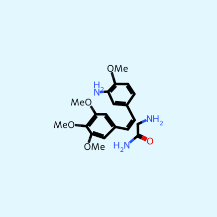 COc1ccc(/C=C\c2cc(OC)c(OC)c(OC)c2)cc1N.NCC(N)=O